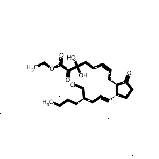 CCCC[C@@H](CCl)C/C=C/[C@H]1CCC(=O)[C@@H]1C/C=C\CCC(O)(O)C(=O)C(=O)OCC